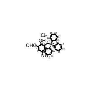 O=Cc1cc([N+](=O)[O-])cc(C[P+](c2ccccc2)(c2ccccc2)c2ccccc2)c1O.[Cl-]